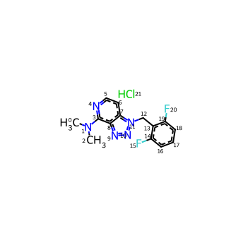 CN(C)c1nccc2c1nnn2Cc1c(F)cccc1F.Cl